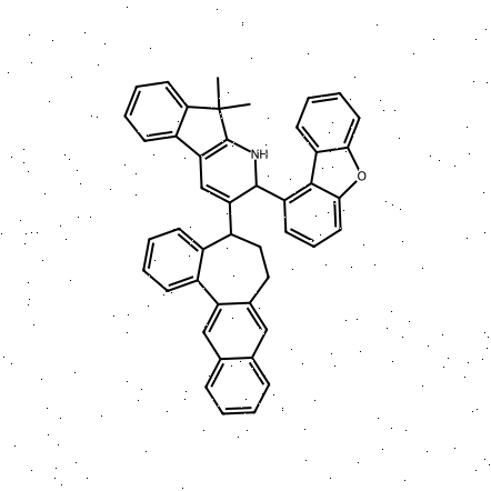 CC1(C)C2=C(C=C(C3CCc4cc5ccccc5cc4-c4ccccc43)C(c3cccc4oc5ccccc5c34)N2)c2ccccc21